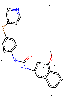 COc1cc(NC(=O)Nc2ccc(Sc3ccncc3)cc2)cc2ccccc12